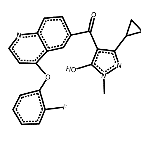 Cn1nc(C2CC2)c(C(=O)c2ccc3nccc(Oc4ccccc4F)c3c2)c1O